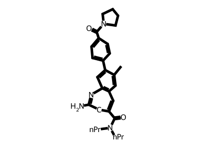 CCCN(CCC)C(=O)C1=Cc2cc(C)c(-c3ccc(C(=O)N4CCCC4)cc3)cc2N=C(N)C1